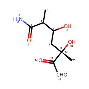 CC(C(N)=O)C(O)C[C@](C)(O)C(=O)C=O